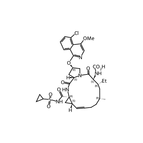 CC[C@@H]1C[C@H](C)CCC=C[C@@H]2C[C@@]2(C(=O)NS(=O)(=O)C2CC2)NC(=O)[C@@H]2C[C@@H](Oc3ncc(OC)c4c(Cl)cccc34)CN2C(=O)[C@H]1NC(=O)O